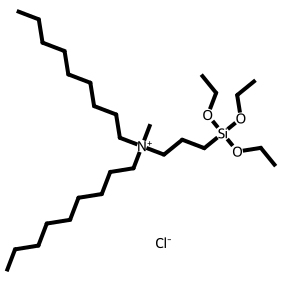 CCCCCCCCC[N+](C)(CCCCCCCCC)CCC[Si](OCC)(OCC)OCC.[Cl-]